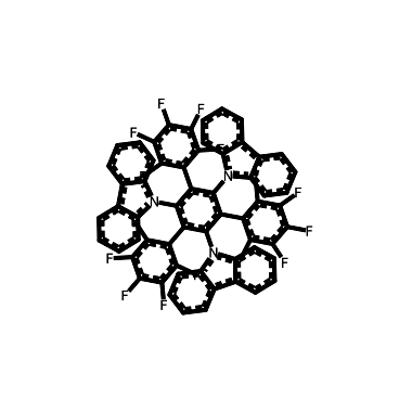 Fc1c(F)c(F)c(-c2c(-n3c4ccccc4c4ccccc43)c(-c3c(F)c(F)c(F)c(F)c3F)c(-n3c4ccccc4c4ccccc43)c(-c3c(F)c(F)c(F)c(F)c3F)c2-n2c3ccccc3c3ccccc32)c(F)c1F